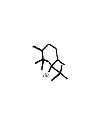 CC1CCC(C)C(O)(C(C)(C)C)C1(C)C